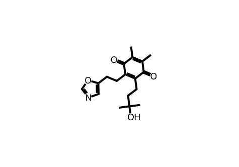 CC1=C(C)C(=O)C(CCC(C)(C)O)=C(CCc2cnco2)C1=O